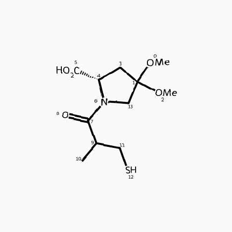 COC1(OC)C[C@@H](C(=O)O)N(C(=O)C(C)CS)C1